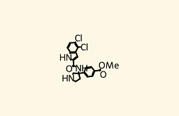 COC(=O)c1ccc(C2(NC(=O)c3cc4c(Cl)c(Cl)ccc4[nH]3)CCNC2)cc1